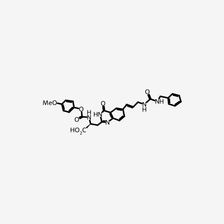 COc1ccc(OC(=O)N[C@@H](Cc2nc3ccc(/C=C/CNC(=O)NCc4ccccc4)cc3c(=O)[nH]2)C(=O)O)cc1